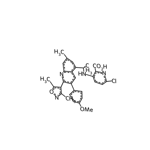 COc1ccc(-c2cc3c([C@@H](C)Nc4ccc(Cl)nc4C(=O)O)cc(C)cc3nc2-c2c(C)noc2C)cc1